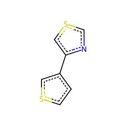 c1cc(-c2cscn2)cs1